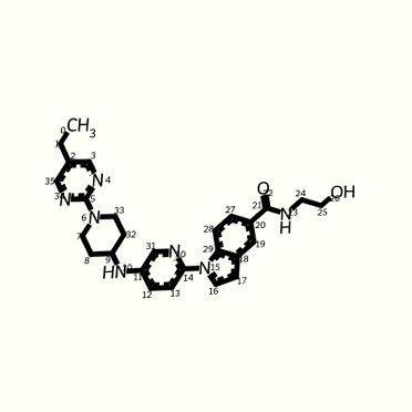 CCc1cnc(N2CCC(Nc3ccc(-n4ccc5cc(C(=O)NCCO)ccc54)nc3)CC2)nc1